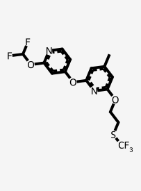 Cc1cc(OCCSC(F)(F)F)nc(Oc2ccnc(OC(F)F)c2)c1